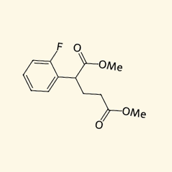 COC(=O)CCC(C(=O)OC)c1ccccc1F